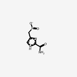 NC(=O)c1nc(C[N+](=O)[O-])c[nH]1